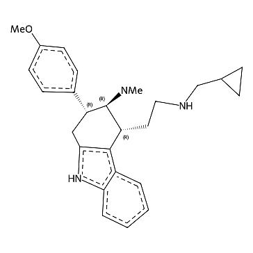 CN[C@@H]1[C@@H](c2ccc(OC)cc2)Cc2[nH]c3ccccc3c2[C@H]1CCNCC1CC1